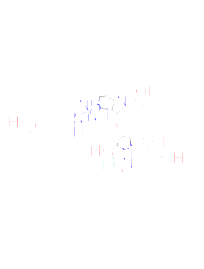 N=C(N)NCCCCCC(=O)O.O=C(NCCCCO)C(F)(F)F.O=Cc1cn(CC(=O)O)c2ccccc12.OCc1ccc(O)cc1